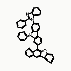 c1ccc(-c2nc3ccccc3n2-c2ccc3c4ccc(-c5c6ccccc6cc6c5oc5ccccc56)cc4n(-c4ccccc4)c3c2)cc1